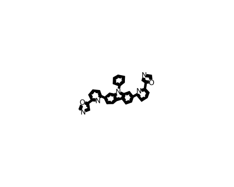 c1ccc(-n2c3cc(-c4cccc(-c5cnco5)n4)ccc3c3ccc(-c4cccc(-c5cnco5)n4)cc32)cc1